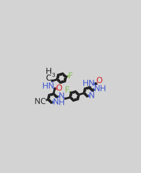 CC(NC(=O)c1cc(C#N)cnc1NCc1ccc(-c2cnc3[nH]c(=O)[nH]c3c2)cc1F)c1ccc(F)cc1